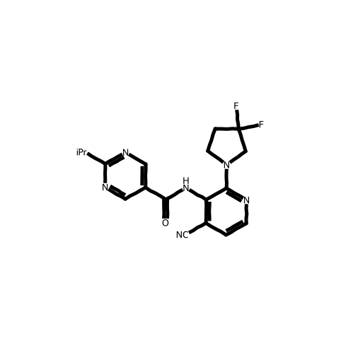 CC(C)c1ncc(C(=O)Nc2c(C#N)ccnc2N2CCC(F)(F)C2)cn1